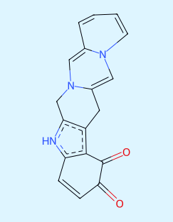 O=C1C=Cc2[nH]c3c(c2C1=O)CC1=CN2C=CC=CC2=CN1C3